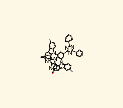 Cc1ccc2c(c1)c1cc(C)ccc1n2-c1cc(-c2nc(-c3ccccc3)nc(-c3ccccc3)n2)cc(-n2c3ccc(C)cc3c3cc(C)ccc32)c1-n1c2ccc(C)nc2c2nc(C)ccc21